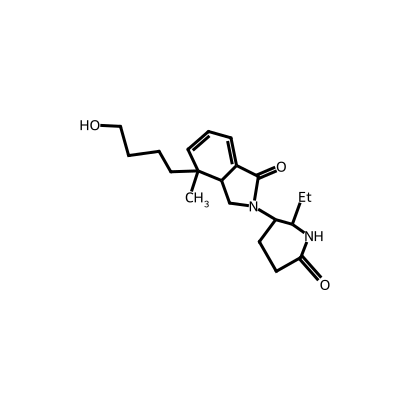 CCC1NC(=O)CCC1N1CC2C(=CC=CC2(C)CCCCO)C1=O